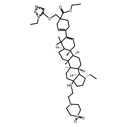 CCOC(=O)C1(COc2cnnn2CC)CC=C(C2=CC[C@]3(C)[C@H]4CC[C@@H]5[C@H]6[C@H](CC)CC[C@]6(NCCN6CCS(=O)(=O)CC6)CC[C@@]5(C)[C@]4(C)CC[C@H]3C2(C)C)CC1